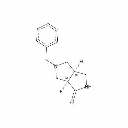 O=C1NC[C@@H]2CN(Cc3ccccc3)C[C@]12F